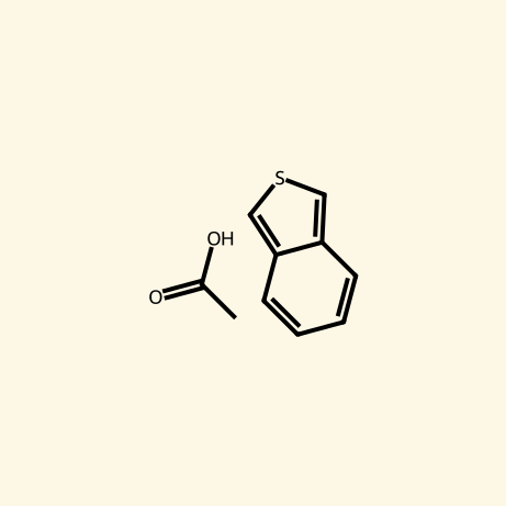 CC(=O)O.c1ccc2cscc2c1